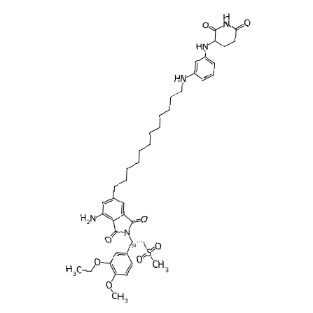 CCOc1cc([C@@H](CS(C)(=O)=O)N2C(=O)c3cc(CCCCCCCCCCCCNc4cccc(NC5CCC(=O)NC5=O)c4)cc(N)c3C2=O)ccc1OC